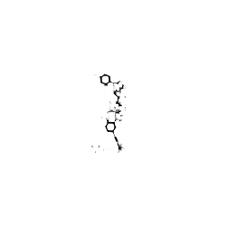 COC(C)(C)C#Cc1ccc2c(c1)N(C)C(=O)[C@@H](NC(=O)c1cn3c(-c4ccc(F)cc4F)csc3n1)CO2